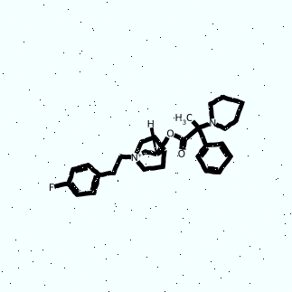 CC(C(=O)O[C@H]1C[N+]2(CCc3ccc(F)cc3)CCC1CC2)(c1ccccc1)N1CCCCC1